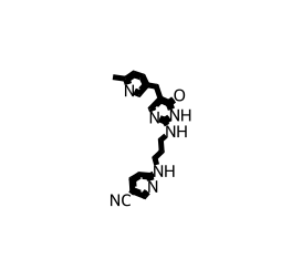 Cc1ccc(Cc2cnc(NCCCNc3ccc(C#N)cn3)[nH]c2=O)cn1